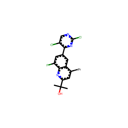 CC(C)c1cc(C(C)(C)O)nc2c(F)cc(-c3nc(Cl)ncc3Cl)cc12